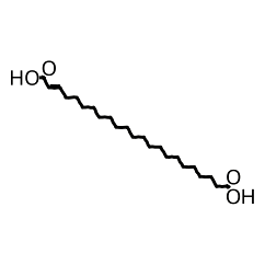 O=C(O)C=CCCCCCCCCCCCCCCCCCCCC(=O)O